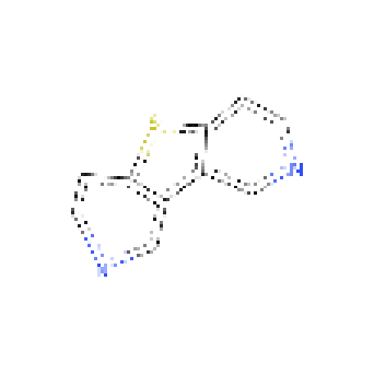 c1cc2sc3ccncc3c2cn1